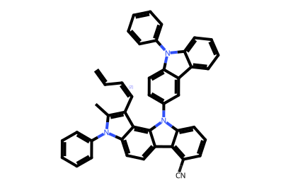 C=C/C=C\c1c(C)n(-c2ccccc2)c2ccc3c4c(C#N)cccc4n(-c4ccc5c(c4)c4ccccc4n5-c4ccccc4)c3c12